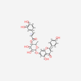 CC1OC(Oc2cc(O)c3c(=O)cc(-c4ccc(O)cc4)oc3c2)C(O)C(O)C1OC(=O)/C=C/c1ccc(O)c(O)c1